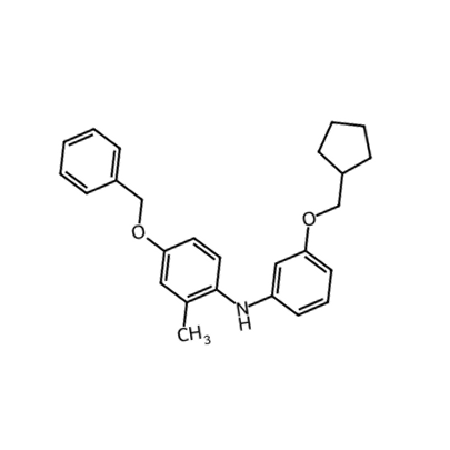 Cc1cc(OCc2ccccc2)ccc1Nc1cccc(OCC2CCCC2)c1